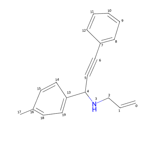 C=CCNC(C#Cc1ccccc1)c1ccc(C)cc1